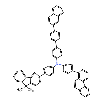 CC1(C)c2ccccc2-c2cc(-c3ccc(N(c4ccc(-c5ccc(-c6ccc7ccccc7c6)cc5)cc4)c4ccc(-c5cccc6c5ccc5ccccc56)cc4)cc3)ccc21